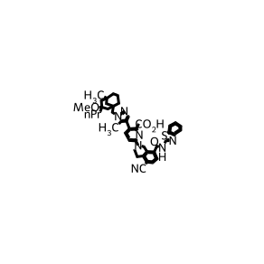 CCCC1(OC)CC2(C)CCCC(Cn3ncc(-c4ccc(N5CCc6c(C#N)ccc(C(=O)Nc7nc8ccccc8s7)c6C5)nc4C(=O)O)c3C)(C2)C1